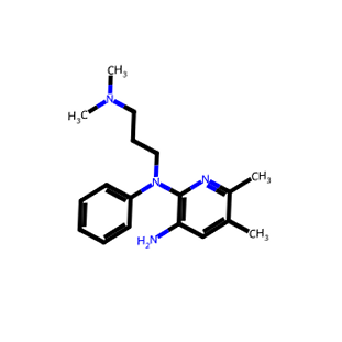 Cc1cc(N)c(N(CCCN(C)C)c2ccccc2)nc1C